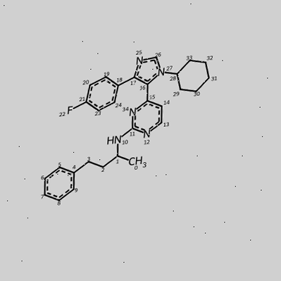 CC(CCc1ccccc1)Nc1nccc(-c2c(-c3ccc(F)cc3)ncn2C2CCCCC2)n1